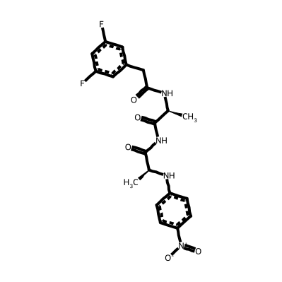 C[C@H](NC(=O)Cc1cc(F)cc(F)c1)C(=O)NC(=O)[C@H](C)Nc1ccc([N+](=O)[O-])cc1